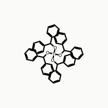 c1ccc(C([O][Ti]([O]C(c2ccccc2)c2ccccc2)([O]C(c2ccccc2)c2ccccc2)[O]C(c2ccccc2)c2ccccc2)c2ccccc2)cc1